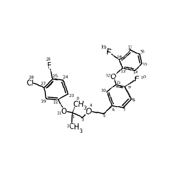 CC(C)(COCc1ccc(F)c(Oc2ccccc2F)c1)Oc1ccc(F)c(Cl)c1